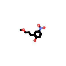 COCCCc1cc([N+](=O)[O-])ccc1[O]